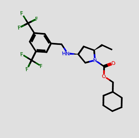 CC[C@@H]1C[C@H](NCc2cc(C(F)(F)F)cc(C(F)(F)F)c2)CN1C(=O)OCC1CCCCC1